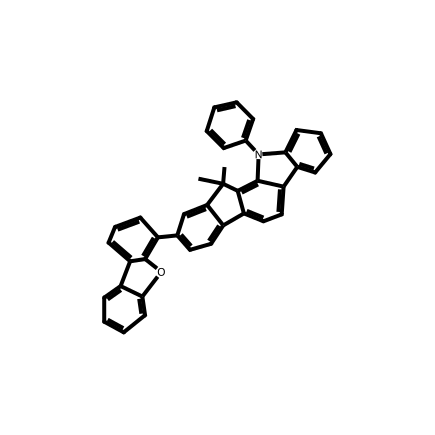 CC1(C)c2cc(-c3cccc4c3oc3ccccc34)ccc2-c2ccc3c4ccccc4n(-c4ccccc4)c3c21